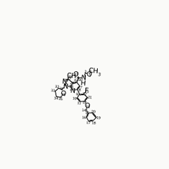 COCNC(=O)c1cc(-c2ccc(OCc3ccccc3)cc2F)nc2c1c(C)nn2C1CCCCO1